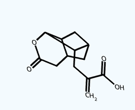 C=C(CC1C2CC3CC(=O)OC1C3C2)C(=O)O